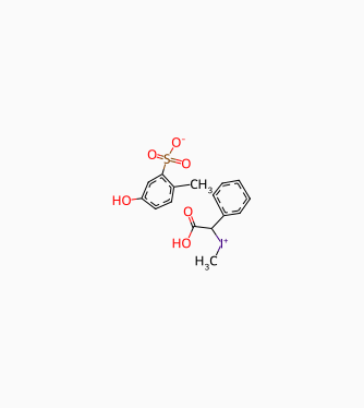 C[I+]C(C(=O)O)c1ccccc1.Cc1ccc(O)cc1S(=O)(=O)[O-]